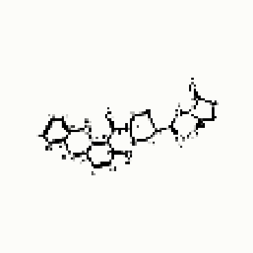 O=C(ON1C(=O)CCC1=O)C1CCN(C(=O)c2c3oc4ccccc4nc-3ccc2=O)CC1